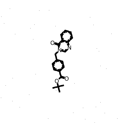 CC(C)(C)OC(=O)c1ccc(Cn2cnc3ccccc3c2=O)cc1